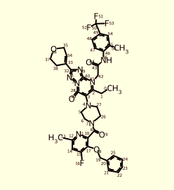 CCc1c(N2CCN(C(=O)c3nc(C)cc(F)c3OCc3ccccc3)CC2)c(=O)n2nc(C3=CCOCC3)nc2n1CC(=O)Nc1ccc(C(F)(F)F)cc1C